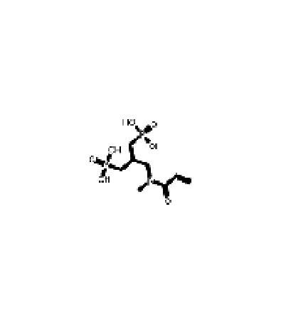 C=CC(=O)N(C)CC(CP(=O)(O)O)CP(=O)(O)O